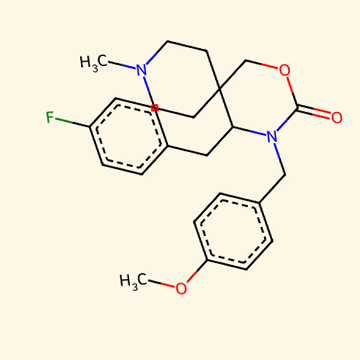 COc1ccc(CN2C(=O)OCC3(CCN(C)CC3)C2Cc2ccc(F)cc2)cc1